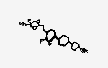 CCCC1CCC(C2CCC(c3ccc(CCC4OCC(F)(CCC)CO4)c(F)c3F)CC2)CC1